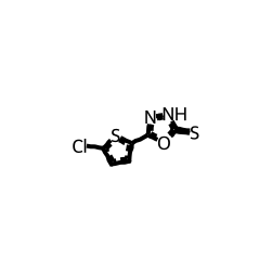 S=c1[nH]nc(-c2ccc(Cl)s2)o1